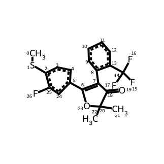 CSc1ccc(C2=C(c3ccccc3C(F)(F)F)C(=O)C(C)(C)O2)cc1F